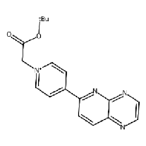 CC(C)(C)OC(=O)C[n+]1ccc(-c2ccc3nccnc3n2)cc1